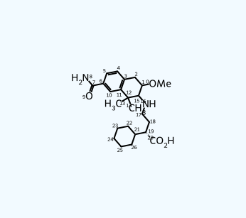 COC1Cc2ccc(C(N)=O)cc2C(C)(C)C1NCC[C@H](C(=O)O)C1CCCCC1